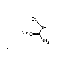 CCNC(N)=O.[Na]